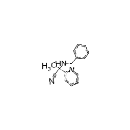 CC(C#N)(NCc1ccccc1)c1ccccn1